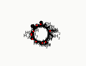 CCCC[C@H]1C(=O)N(C)[C@@H](CCCC)C(=O)N[C@@H](CCCNC(=N)N)C(=O)NC(C(=O)NCC(N)=O)CSCC(=O)N[C@@H](Cc2ccc(O)cc2)C(=O)NC(C)(C)C(=O)N[C@@H](CC(N)=O)C(=O)N2CCC[C@H]2C(=O)N[C@@H](CC2=CCC=N2)C(=O)N[C@H](CC(C)C)C(=O)N2C[C@H](O)C[C@H]2C(=O)NC(Cc2c[nH]c3ccccc23)C(=O)N[C@@H](CO)C(=O)N[C@@H](Cc2csc3ccccc23)C(=O)N1C